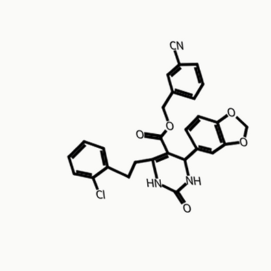 N#Cc1cccc(COC(=O)C2=C(CCc3ccccc3Cl)NC(=O)NC2c2ccc3c(c2)OCO3)c1